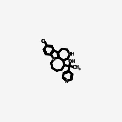 CC(O)(c1ccncc1)C1CCCCn2c3c(c4cc(Cl)ccc42)CCNCC31